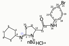 CCCCN1/C(=N/C2CCCCC2)SCC1CC(=O)Nc1ccc(Br)cc1.Cl